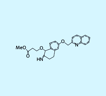 COC(=O)CCOC1C(=N)CCc2cc(OCc3ccc4ccccc4n3)ccc21